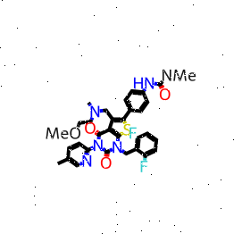 CNC(=O)Nc1ccc(-c2sc3c(c2CN(C)CCOC)c(=O)n(-c2ccc(C)cn2)c(=O)n3Cc2c(F)cccc2F)cc1